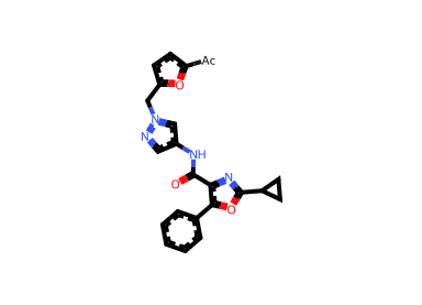 CC(=O)c1ccc(Cn2cc(NC(=O)c3nc(C4CC4)oc3-c3ccccc3)cn2)o1